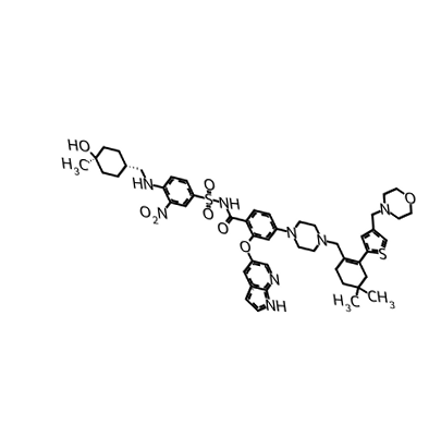 CC1(C)CCC(CN2CCN(c3ccc(C(=O)NS(=O)(=O)c4ccc(NC[C@H]5CC[C@](C)(O)CC5)c([N+](=O)[O-])c4)c(Oc4cnc5[nH]ccc5c4)c3)CC2)=C(c2cc(CN3CCOCC3)cs2)C1